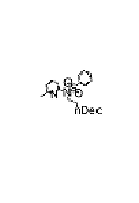 CCCCCCCCCCCCN(c1cccc(C)n1)S(=O)(=O)c1ccccc1